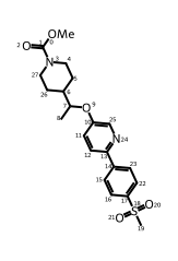 COC(=O)N1CCC(C(C)Oc2ccc(-c3ccc(S(C)(=O)=O)cc3)nc2)CC1